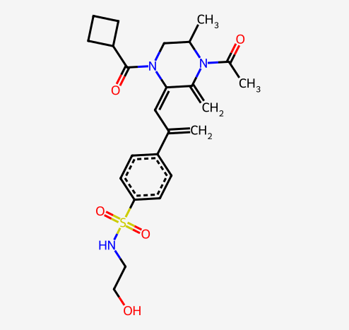 C=C(/C=C1\C(=C)N(C(C)=O)C(C)CN1C(=O)C1CCC1)c1ccc(S(=O)(=O)NCCO)cc1